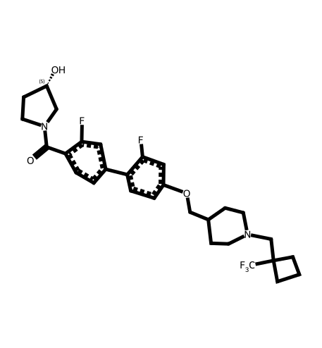 O=C(c1ccc(-c2ccc(OCC3CCN(CC4(C(F)(F)F)CCC4)CC3)cc2F)cc1F)N1CC[C@H](O)C1